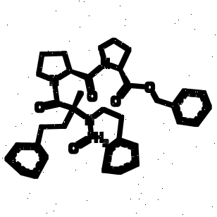 C[C@@](CCc1ccccc1)(C(=O)N1CCC[C@H]1C(=O)N1CCC[C@H]1C(=O)OCc1ccccc1)N(CCc1ccccc1)[PH2]=O